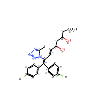 Cc1nnnn1C(/C=C/C(O)CC(O)CC(=O)O)=C(c1ccc(F)cc1)c1ccc(F)cc1